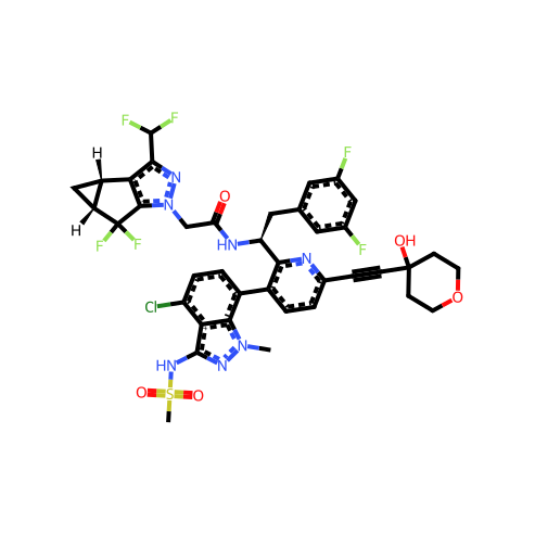 Cn1nc(NS(C)(=O)=O)c2c(Cl)ccc(-c3ccc(C#CC4(O)CCOCC4)nc3[C@H](Cc3cc(F)cc(F)c3)NC(=O)Cn3nc(C(F)F)c4c3C(F)(F)[C@@H]3C[C@H]43)c21